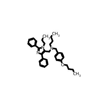 CCCCOc1ccc(CN(CCCC)Cc2c(-c3ccccc3)nc(-c3ccccc3)n2CCC)cc1